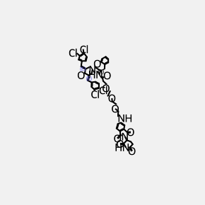 O=C1CCC(N2C(=O)c3ccc(NCCOCCOCCOCCC(=O)N[C@H](Cc4ccccc4)C(=O)N4C/C(=C\c5ccc(Cl)c(Cl)c5)C(=O)/C(=C/c5ccc(Cl)c(Cl)c5)C4)cc3C2=O)C(=O)N1